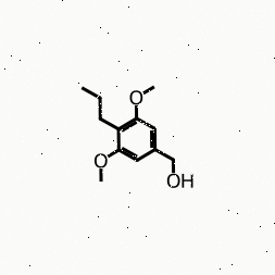 CCCc1c(OC)cc(CO)cc1OC